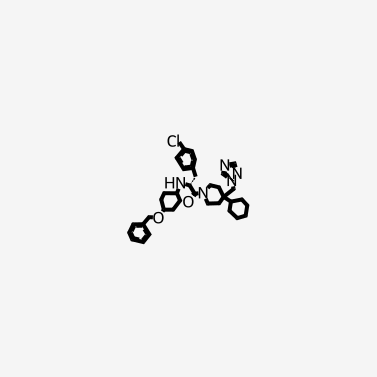 O=C([C@@H](Cc1ccc(Cl)cc1)NC1CCC(OCc2ccccc2)CC1)N1CCC(Cn2cncn2)(C2CCCCC2)CC1